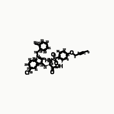 CC#CCOc1ccc(S(=O)(=O)N[C@@H](Cc2cn(Cc3ccccc3C)c3ccc(Cl)cc23)C(=O)O)cc1